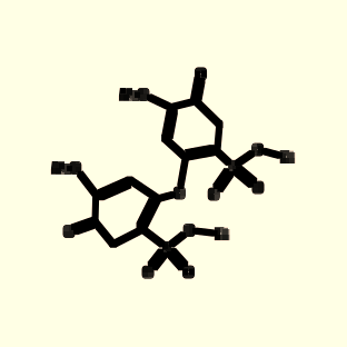 CCOS(=O)(=O)C1=C(OC2=C(S(=O)(=O)OCC)CC(=O)C(OC)=C2)C=C(OC)C(=O)C1